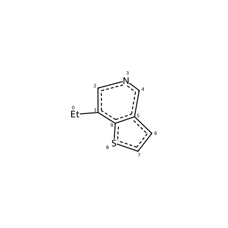 CCc1cncc2ccsc12